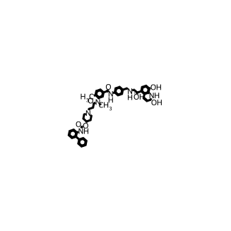 Cc1ccc(C(=O)Nc2ccc(CNC[C@H](O)c3ccc(O)c4c3C=CC(O)N4)cc2)cc1N(C)C(=O)CCN1CCC(OC(=O)Nc2ccccc2-c2ccccc2)CC1